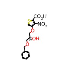 O=C(O)c1scc(OC[C@H](O)COCc2ccccc2)c1[N+](=O)[O-]